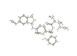 COC(=O)[C@H](CC(C)C)NC(=O)[C@H](Cc1ccccc1)NC(=O)CC1COc2ccc(C=O)cc21